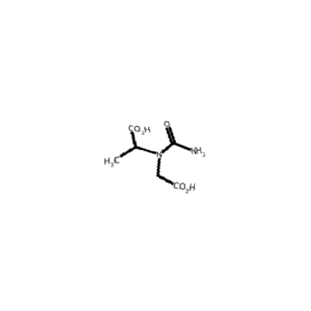 CC(C(=O)O)N(CC(=O)O)C(N)=O